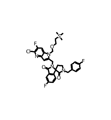 CS(C)(C)CCOCn1c(CN2C(=O)c3cc(F)ccc3C23CCN(Cc2ccc(F)cc2)C3=O)cc2nc(Cl)c(F)cc21